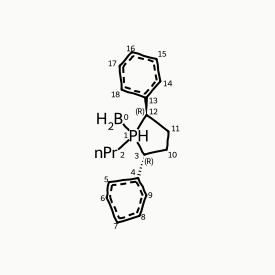 B[PH]1(CCC)[C@@H](c2ccccc2)CC[C@@H]1c1ccccc1